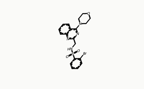 O=S(=O)(NCc1nc(N2CCOCC2)c2ccccc2n1)c1ccccc1Br